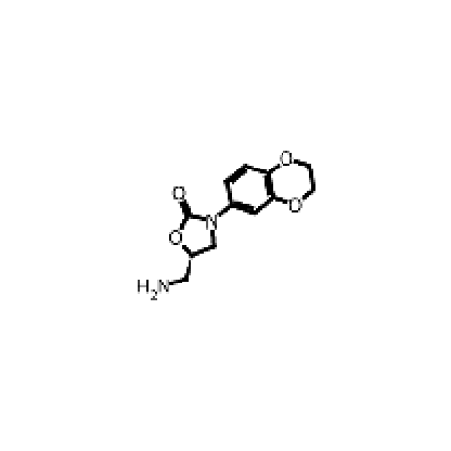 NC[C@@H]1CN(c2ccc3c(c2)OCCO3)C(=O)O1